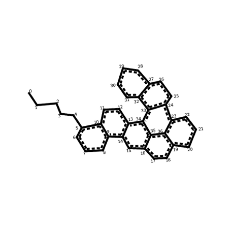 CCCCCc1cccc2c1ccc1c2cc2ccc3cccc4c5ccc6ccccc6c5c1c2c34